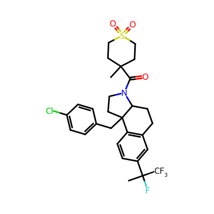 CC1(C(=O)N2CCC3(Cc4ccc(Cl)cc4)c4ccc(C(C)(F)C(F)(F)F)cc4CCC23)CCS(=O)(=O)CC1